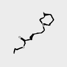 CCOC(=O)C=CCN1CCCCC1